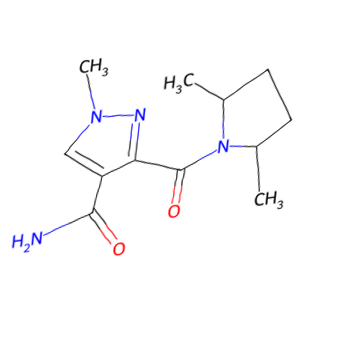 CC1CCC(C)N1C(=O)c1nn(C)cc1C(N)=O